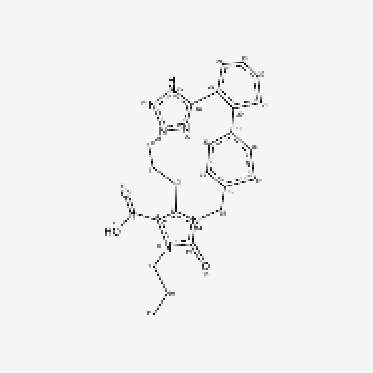 CCCc1c(C(=O)O)n(CCC)c(=O)n1Cc1ccc(-c2ccccc2-c2nnn[nH]2)cc1